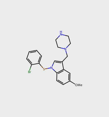 COc1ccc2c(c1)c(CN1CCNCC1)cn2Sc1ccccc1Br